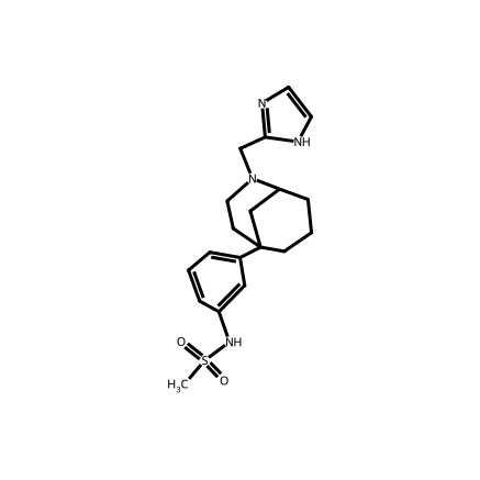 CS(=O)(=O)Nc1cccc(C23CCCC(C2)N(Cc2ncc[nH]2)CC3)c1